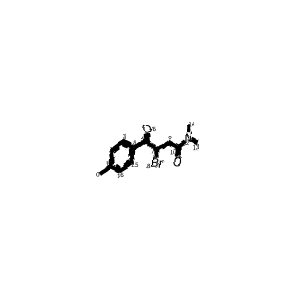 Cc1ccc(C(=O)C(Br)CC(=O)N(C)C)cc1